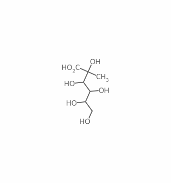 CC(O)(C(=O)O)C(O)C(O)C(O)CO